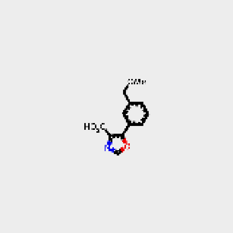 COCc1cccc(-c2ocnc2C(=O)O)c1